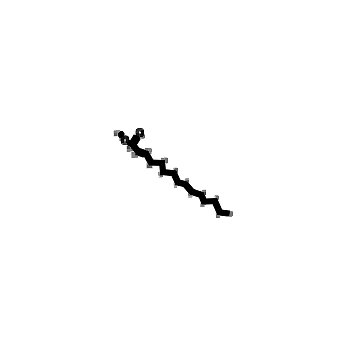 CCCCCCCCCCCCC=CC(=O)OC